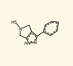 SN1Cc2[nH]nc(-c3ccccc3)c2C1